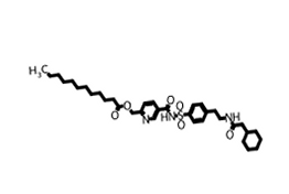 CCCCCCCCCCCC(=O)OCc1ccc(C(=O)NS(=O)(=O)c2ccc(CCNC(=O)CC3CCCCC3)cc2)cn1